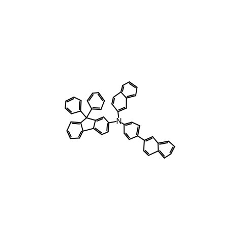 c1ccc(C2(c3ccccc3)c3ccccc3-c3ccc(N(c4ccc(-c5ccc6ccccc6c5)cc4)c4ccc5ccccc5c4)cc32)cc1